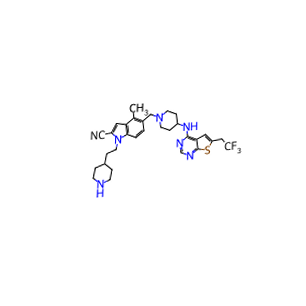 Cc1c(CN2CCC(Nc3ncnc4sc(CC(F)(F)F)cc34)CC2)ccc2c1cc(C#N)n2CCC1CCNCC1